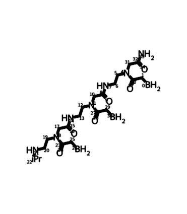 BCC(=O)N(CCNC(=O)CN(CCNC(=O)CN(CCNC(C)C)C(=O)CB)C(=O)CB)CC(N)=O